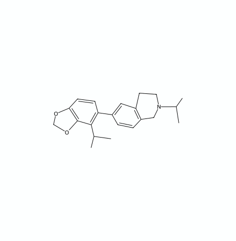 CC(C)c1c(-c2ccc3c(c2)CCN(C(C)C)C3)ccc2c1OCO2